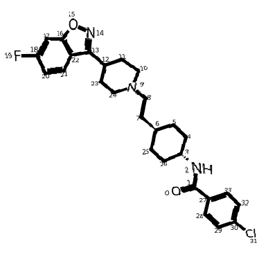 O=C(N[C@H]1CC[C@H](CCN2CCC(c3noc4cc(F)ccc34)CC2)CC1)c1ccc(Cl)cc1